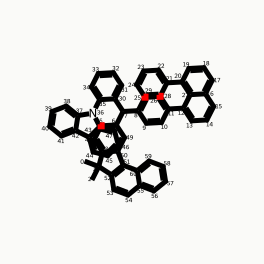 CC1(C)c2ccc(C(c3ccc(-c4cccc5cccc(-c6ccccc6)c45)cc3)c3ccccc3-n3c4ccccc4c4ccccc43)cc2-c2c1ccc1ccccc21